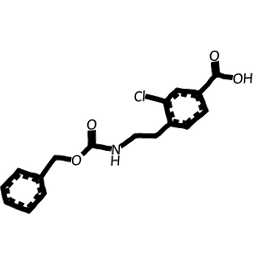 O=C(NCCc1ccc(C(=O)O)cc1Cl)OCc1ccccc1